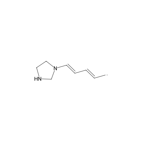 [CH2]C=CC=CN1CCNC1